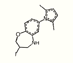 Cc1ccc(C)n1-c1ccc2c(c1)NCC(I)CO2